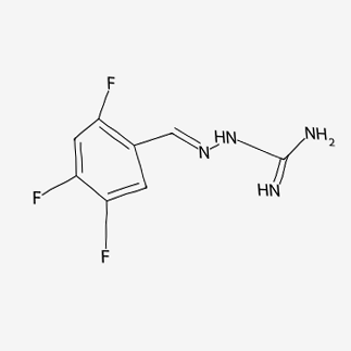 N=C(N)NN=Cc1cc(F)c(F)cc1F